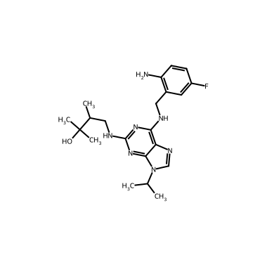 CC(C)n1cnc2c(NCc3cc(F)ccc3N)nc(NCC(C)C(C)(C)O)nc21